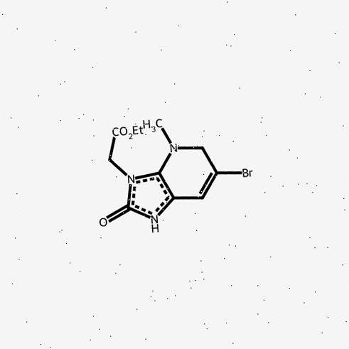 CCOC(=O)Cn1c2c([nH]c1=O)C=C(Br)CN2C